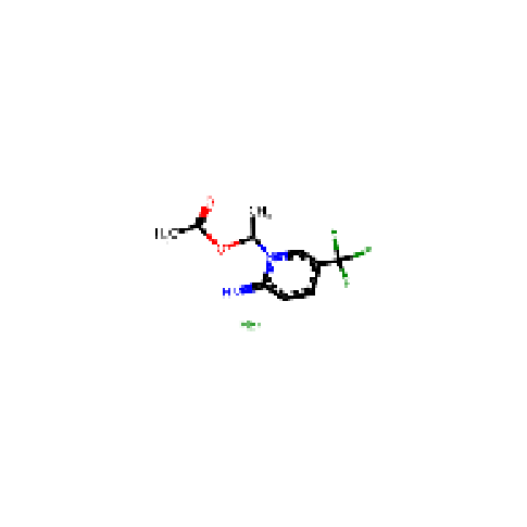 Br.CC(=O)OC(C)n1cc(C(F)(F)F)ccc1=N